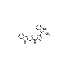 Cc1[nH]c2ccccc2c1-c1csc(NC(=O)Cc2cc3ccccc3[nH]2)n1